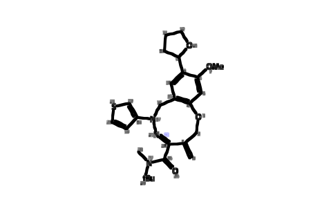 C=C1COc2cc(OC)c(C3CCCO3)cc2CN(c2ccsc2)/N=C\1C(=O)N(C)C(C)(C)C